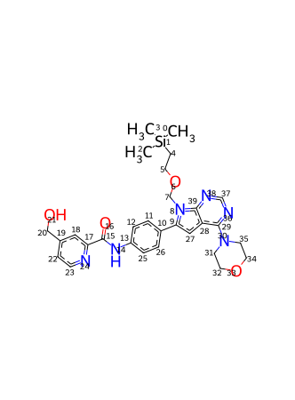 C[Si](C)(C)CCOCn1c(-c2ccc(NC(=O)c3cc(CO)ccn3)cc2)cc2c(N3CCOCC3)ncnc21